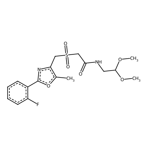 COC(CNC(=O)CS(=O)(=O)Cc1nc(-c2ccccc2F)oc1C)OC